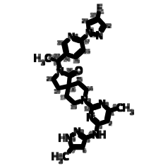 Cc1cc(Nc2cc(C)[nH]n2)nc(N2CCC3(CC2)CCN([C@@H](C)c2ccc(-n4cc(F)cn4)nc2)C3=O)n1